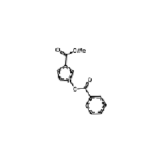 COC(=O)c1ccn(OC(=O)c2ccccc2)c1